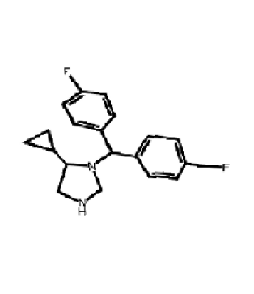 Fc1ccc(C(c2ccc(F)cc2)N2CNCC2C2CC2)cc1